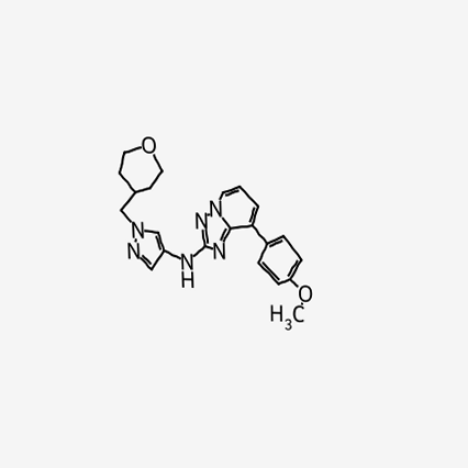 COc1ccc(-c2cccn3nc(Nc4cnn(CC5CCOCC5)c4)nc23)cc1